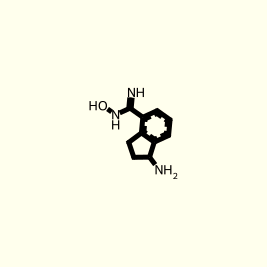 N=C(NO)c1cccc2c1CCC2N